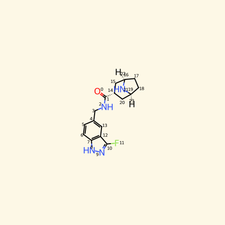 O=C(NCc1ccc2[nH]nc(F)c2c1)[C@@H]1C[C@H]2CC[C@@H](C1)N2